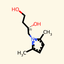 Cc1ccc(C)n1C[C@@H](O)CCO